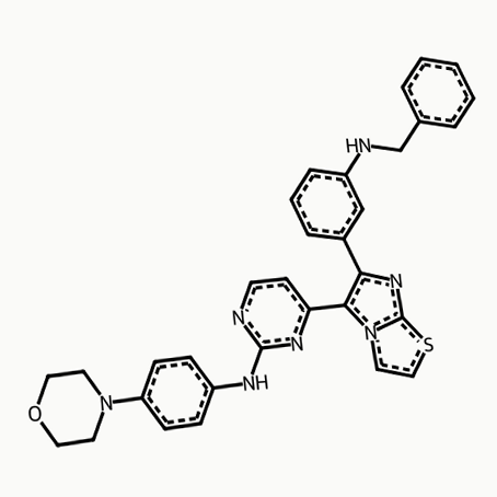 c1ccc(CNc2cccc(-c3nc4sccn4c3-c3ccnc(Nc4ccc(N5CCOCC5)cc4)n3)c2)cc1